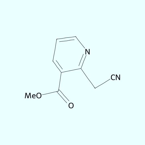 COC(=O)c1cccnc1CC#N